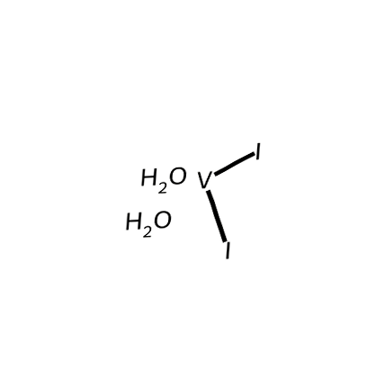 O.O.[I][V][I]